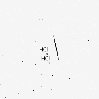 Cl.Cl.II